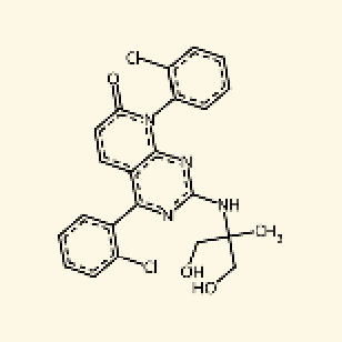 CC(CO)(CO)Nc1nc(-c2ccccc2Cl)c2ccc(=O)n(-c3ccccc3Cl)c2n1